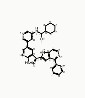 OC(Nc1cncc(-c2cnc3[nH]nc(-c4cc5c(-c6ccccn6)nccc5[nH]4)c3c2)c1)C1CCCCC1